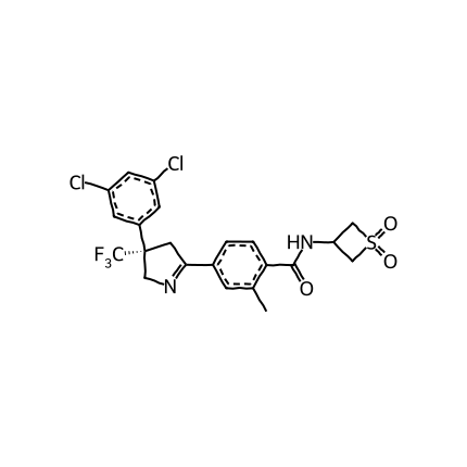 Cc1cc(C2=NC[C@](c3cc(Cl)cc(Cl)c3)(C(F)(F)F)C2)ccc1C(=O)NC1CS(=O)(=O)C1